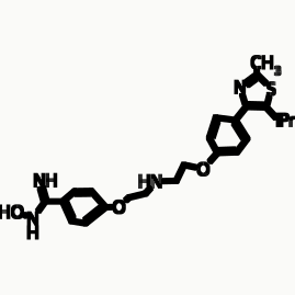 Cc1nc(-c2ccc(OCCNCCOc3ccc(C(=N)NO)cc3)cc2)c(C(C)C)s1